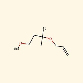 C=CCOC(C)(CC)CCOC(C)CC